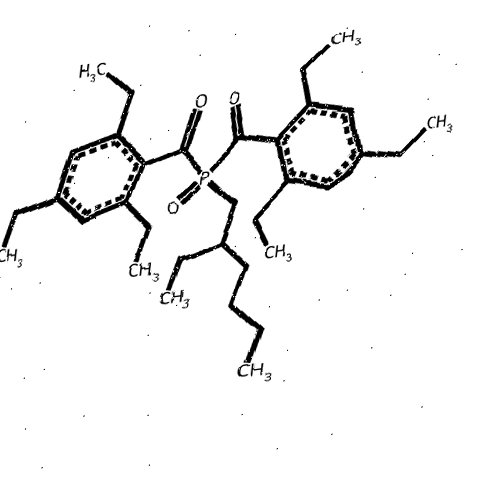 CCCCC(CC)CP(=O)(C(=O)c1c(CC)cc(CC)cc1CC)C(=O)c1c(CC)cc(CC)cc1CC